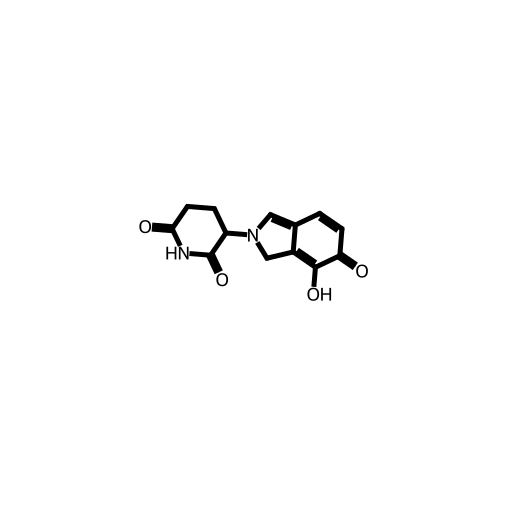 O=C1CCC(N2C=C3C=CC(=O)C(O)=C3C2)C(=O)N1